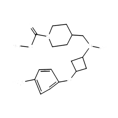 CC(C)N(CC1CCN(C(=O)OC(C)(C)C)CC1)C1CC(Oc2ccc(C(=O)O)cc2)C1